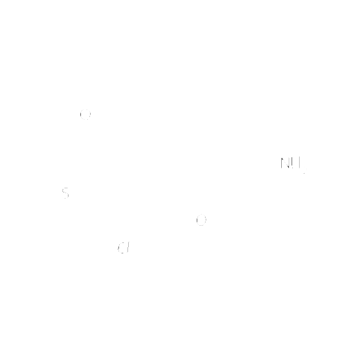 COc1cc(CCN)c(OC)c(Cl)c1SC